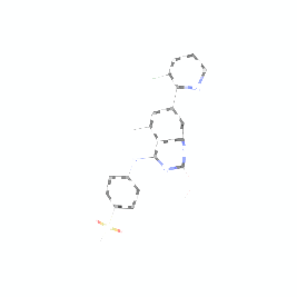 COc1nc(Nc2ccc(S(C)(=O)=O)cc2)c2c(C)cc(-c3ncccc3Cl)cc2n1